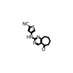 N#Cc1cc(Nc2ncc3c(n2)CCCCC3=O)cs1